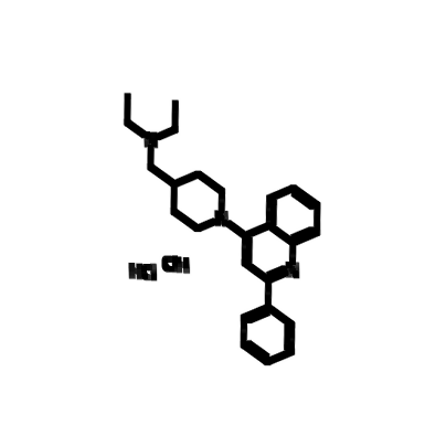 CCN(CC)CC1CCN(c2cc(-c3ccccc3)nc3ccccc23)CC1.Cl.Cl